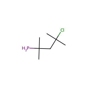 CC(C)(P)CC(C)(C)Cl